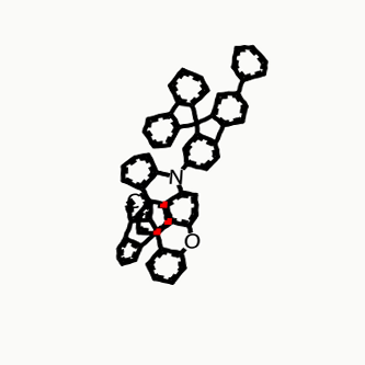 c1ccc(-c2ccc3c(c2)C2(c4ccccc4-c4ccccc42)c2cc(N(c4ccc5c(c4)C4(c6ccccc6O5)c5ccccc5-c5ccccc54)c4ccccc4-c4ccccc4)ccc2-3)cc1